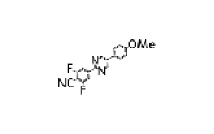 COc1ccc(-c2cnc(-c3cc(F)c(C#N)c(F)c3)nc2)cc1